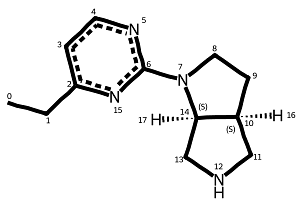 CCc1ccnc(N2CC[C@H]3CNC[C@H]32)n1